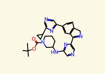 CC(C)(C)OC(=O)N1CCCC(Nc2cncc(C3=NCc4ccc(-c5cncc(C6CC6)n5)cc43)n2)C1